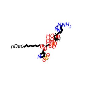 CCCCCCCCCCCCCCCCCCOC[C@H](COP(=O)(O)OC1[C@H]2O[C@@](C)(c3ccc4c(N)ncnn34)[C@H](O)[C@@]12O)OCc1cncc(S(C)(=O)=O)c1